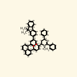 CN1C(c2ccccc2)=NC(c2ccccc2)CC1C1=CC=C(c2cccc3cccc(-c4cccc(-c5ccc6c(c5)C(C)(C)c5ccccc5-6)c4)c23)CC1